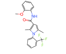 COc1ccccc1NC(=O)c1cc(C)n(-c2ccccc2C(F)(F)F)c1C